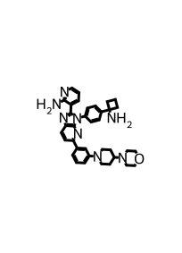 Nc1ncccc1-c1nc2ccc(-c3cccc(N4CCC(N5CCOCC5)CC4)c3)nc2n1-c1ccc(C2(N)CCC2)cc1